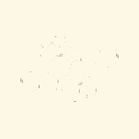 c1ccc(P(c2ccccc2)c2[nH]c3ccccc3c2-c2c(P(c3ccccc3)c3ccccc3)[nH]c3ccccc23)cc1